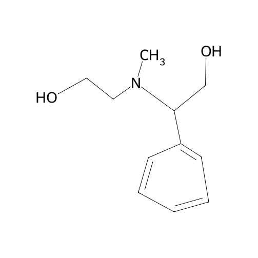 CN(CCO)C(CO)c1ccccc1